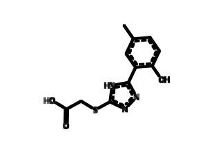 Cc1ccc(O)c(-c2nnc(SCC(=O)O)[nH]2)c1